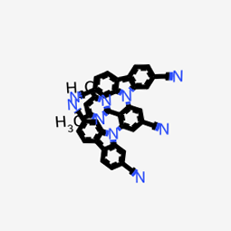 Cc1cc(C)nc(-c2c(-n3c4cc(C#N)ccc4c4ccc(C#N)cc43)cc(C#N)cc2-n2c3cc(C#N)ccc3c3ccc(C#N)cc32)n1